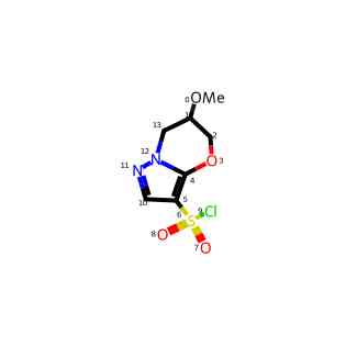 COC1COc2c(S(=O)(=O)Cl)cnn2C1